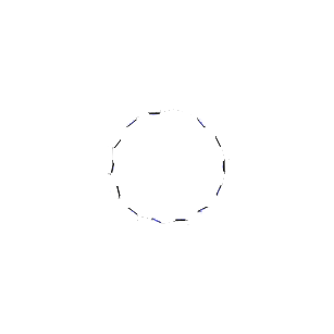 [C]1=C/C=C\C=C/C=C\C=C\C=C\C=C\C=C/C=C/C=C/C=C/C=C\C=C\CC/1